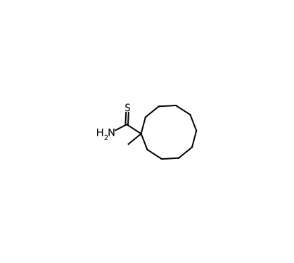 CC1(C(N)=S)CCCCCCCCC1